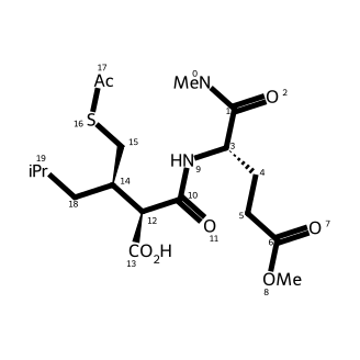 CNC(=O)[C@H](CCC(=O)OC)NC(=O)[C@@H](C(=O)O)[C@H](CSC(C)=O)CC(C)C